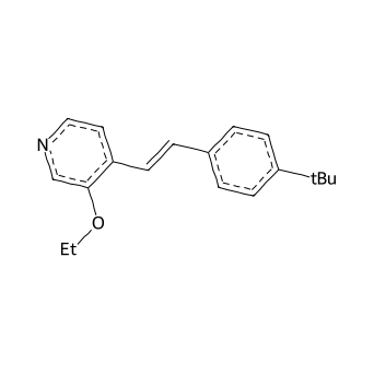 CCOc1cnccc1/C=C/c1ccc(C(C)(C)C)cc1